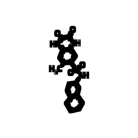 Cc1cc2[nH]c(=O)c(=O)[nH]c2cc1S(=O)(=O)Nc1ccc2ccccc2c1